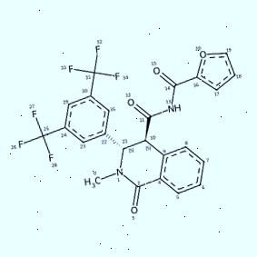 CN1C(=O)c2ccccc2[C@H](C(=O)NC(=O)c2ccco2)[C@H]1c1cc(C(F)(F)F)cc(C(F)(F)F)c1